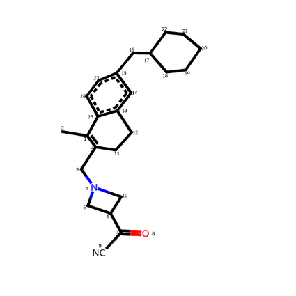 CC1=C(CN2CC(C(=O)C#N)C2)CCc2cc(CC3CCCCC3)ccc21